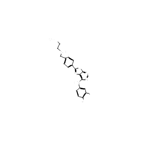 COCCNCc1ccc(-c2nc3c(Nc4ccc(F)c(Cl)c4)ncnc3s2)cc1